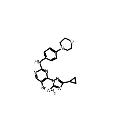 Nc1nc(C2CC2)nn1-c1nc(Nc2ccc(N3CCOCC3)cc2)ncc1Br